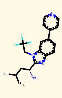 CC(C)C[C@@H](N)c1nc2ccc(-c3ccncc3)cc2n1CC(F)(F)F